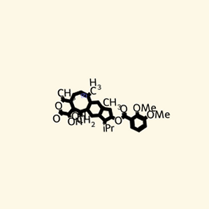 C=C1C2CC3C(C(C)C)C(OC(=O)c4cccc(OC)c4OC)CC3(C)CC2/C(C)=C\CC2C(C)OC(=O)C(O)C12O